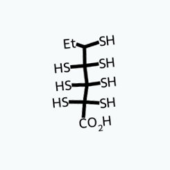 CCC(S)C(S)(S)C(S)(S)C(S)(S)C(=O)O